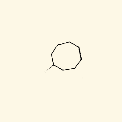 C.NC1CCCCCCC1